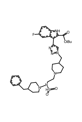 CC(C)COC(=O)c1[nH]c2ccc(F)cc2c1-c1cn(CC2CCN(CCN(N3CCC(Cc4ccccc4)CC3)[SH](=O)=O)CC2)nn1